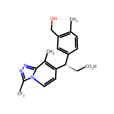 Cc1ccc([C@H](CC(=O)O)c2ccn3c(C(F)(F)F)nnc3c2C)cc1CO